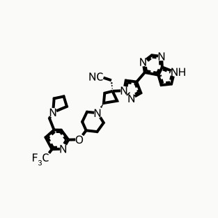 N#CC[C@]1(n2cc(-c3ncnc4[nH]ccc34)cn2)C[C@H](N2CCC(Oc3cc(CN4CCC4)cc(C(F)(F)F)n3)CC2)C1